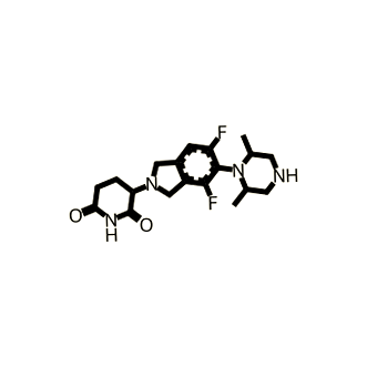 CC1CNCC(C)N1c1c(F)cc2c(c1F)CN(C1CCC(=O)NC1=O)C2